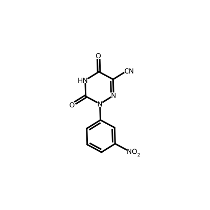 N#Cc1nn(-c2cccc([N+](=O)[O-])c2)c(=O)[nH]c1=O